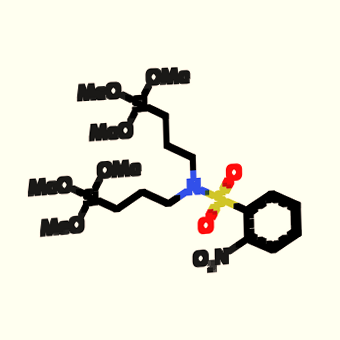 CO[Si](CCCN(CCC[Si](OC)(OC)OC)S(=O)(=O)c1ccccc1[N+](=O)[O-])(OC)OC